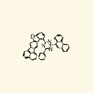 c1ccc(-c2nc(-c3cc4ccccc4c4ccccc34)nc(-c3cccc4oc5cc6c(cc5c34)-c3cccc4cccc-6c34)n2)cc1